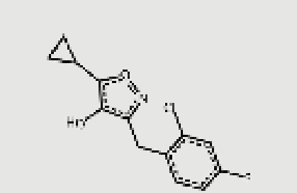 Oc1c(Cc2ccc(F)cc2Cl)noc1C1CC1